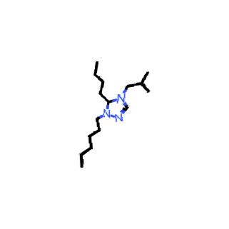 CCCCCCN1N=CN(CC(C)C)C1CCCC